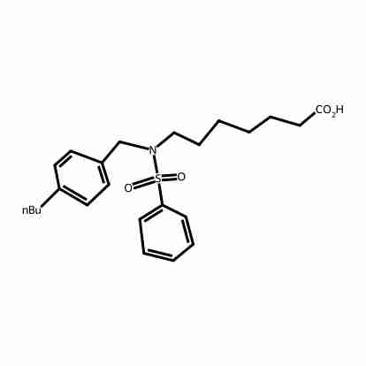 CCCCc1ccc(CN(CCCCCCC(=O)O)S(=O)(=O)c2ccccc2)cc1